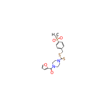 CS(=O)(=O)c1ccc(CSC(=S)N2CCN(C(=O)c3ccco3)CC2)cc1